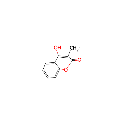 [CH2]c1c(O)c2ccccc2oc1=O